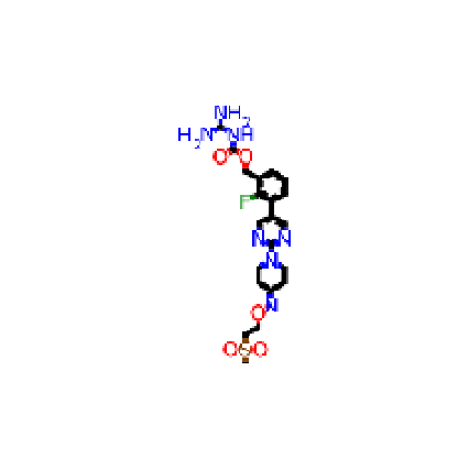 CS(=O)(=O)CCON=C1CCN(c2ncc(-c3cccc(COC(=O)NC(N)N)c3F)cn2)CC1